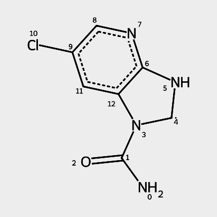 NC(=O)N1[CH]Nc2ncc(Cl)cc21